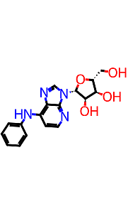 OC[C@H]1O[C@@H](n2cnc3c(Nc4ccccc4)ccnc32)[C@H](O)[C@@H]1O